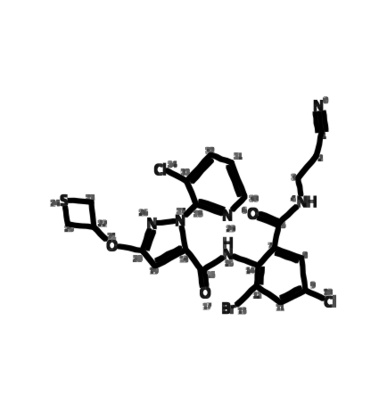 N#CCCNC(=O)c1cc(Cl)cc(Br)c1NC(=O)c1cc(OC2CSC2)nn1-c1ncccc1Cl